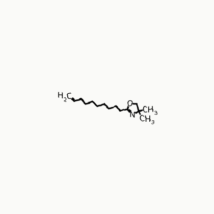 C=CCCCCCCCCC1=NC(C)(C)CO1